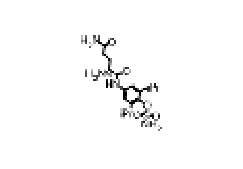 CC(C)c1cc(NC(=O)[C@@H](N)CCC(N)=O)cc(C(C)C)c1OS(N)(=O)=O